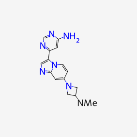 CNC1CN(c2ccn3c(-c4cc(N)ncn4)cnc3c2)C1